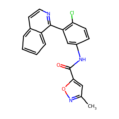 Cc1cc(C(=O)Nc2ccc(Cl)c(-c3nccc4ccccc34)c2)on1